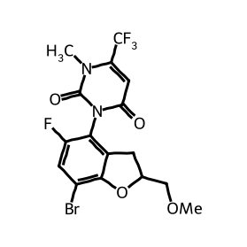 COCC1Cc2c(c(Br)cc(F)c2-n2c(=O)cc(C(F)(F)F)n(C)c2=O)O1